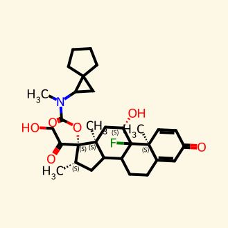 C[C@H]1CC2C3CCC4=CC(=O)C=C[C@]4(C)C3(F)[C@@H](O)C[C@]2(C)[C@]1(OC(=O)N(C)C1CC12CCCC2)C(=O)CO